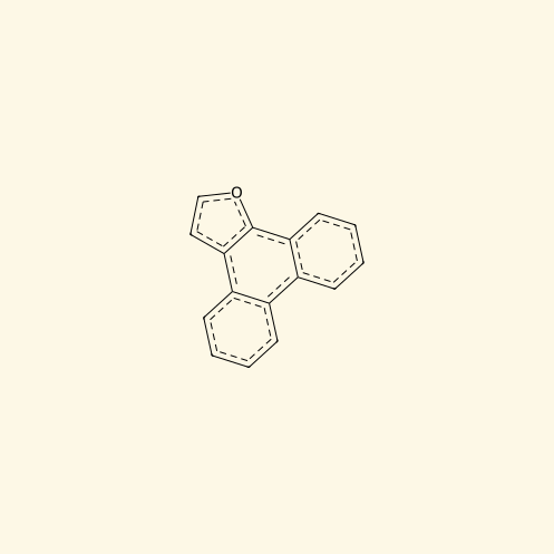 c1ccc2c(c1)c1ccccc1c1occc21